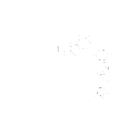 COCCOCC(=O)Nc1nc2cc(Oc3ccc(NC(=O)Nc4nncs4)cc3)ccc2[nH]1